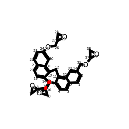 c1cc2ccc(OCC3CO3)c(Cc3c(CC4CO4)ccc4ccc(OCC5CO5)cc34)c2cc1COC1CO1